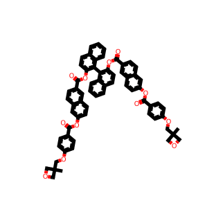 CC1(COc2ccc(C(=O)Oc3ccc4cc(C(=O)Oc5ccc6ccccc6c5-c5c(OC(=O)c6ccc7cc(OC(=O)c8ccc(OCC9(C)COC9)cc8)ccc7c6)ccc6ccccc56)ccc4c3)cc2)COC1